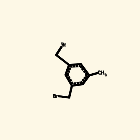 Cc1cc(CBr)cc(CBr)c1